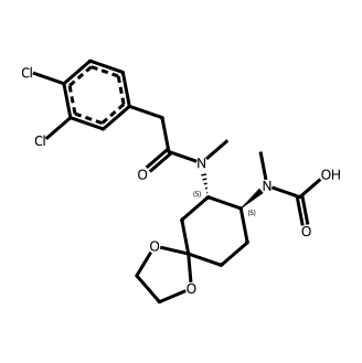 CN(C(=O)O)[C@H]1CCC2(C[C@@H]1N(C)C(=O)Cc1ccc(Cl)c(Cl)c1)OCCO2